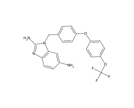 Nc1ccc2nc(N)n(Cc3ccc(Oc4ccc(OC(F)(F)F)cc4)cc3)c2c1